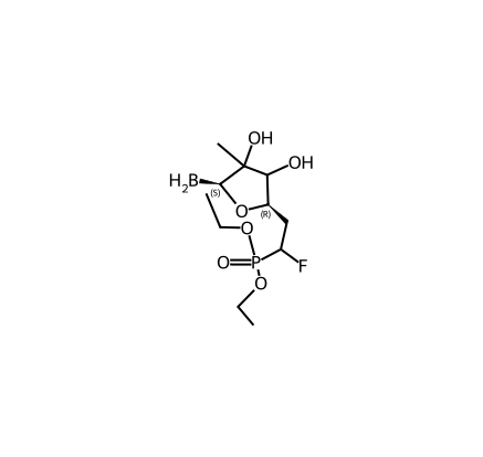 B[C@@H]1O[C@H](CC(F)P(=O)(OCC)OCC)C(O)C1(C)O